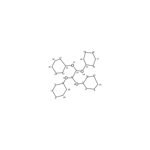 C1CCC(OC(OC2CCCCC2)C(OC2CCCCC2)OC2CCCCC2)CC1